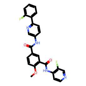 COc1ccc(C(=O)Nc2ccc(-c3ccccc3F)nc2)cc1C(=O)Nc1ccncc1F